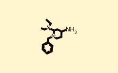 CCN(CC)[C]1CC(N)CCN1Cc1ccccc1